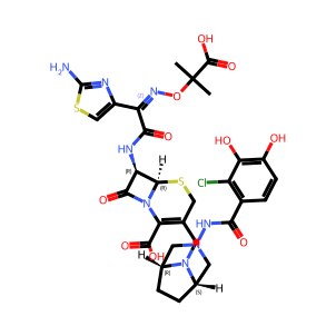 CC(C)(O/N=C(\C(=O)N[C@@H]1C(=O)N2C(C(=O)O)=C(CN3[C@@H]4CC[C@H]3CN(NC(=O)c3ccc(O)c(O)c3Cl)C4)CS[C@H]12)c1csc(N)n1)C(=O)O